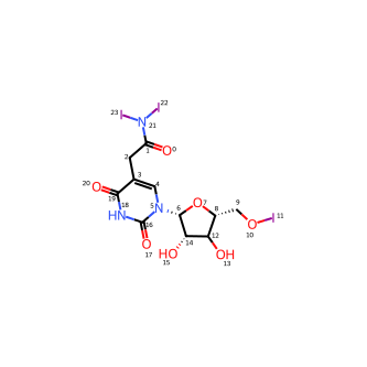 O=C(Cc1cn([C@@H]2O[C@H](COI)C(O)[C@@H]2O)c(=O)[nH]c1=O)N(I)I